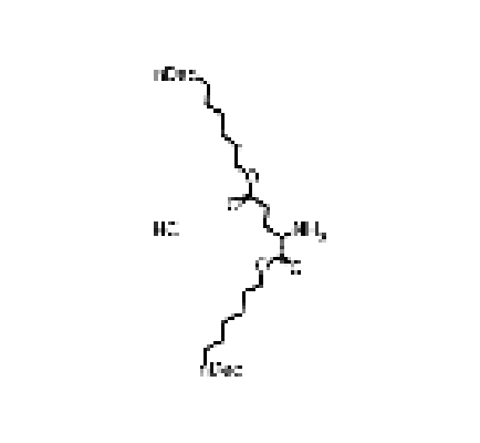 CCCCCCCCCCCCCCCCOC(=O)CCC(N)C(=O)OCCCCCCCCCCCCCCCC.Cl